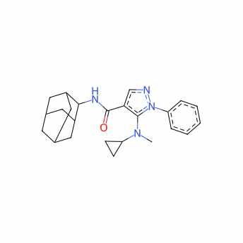 CN(c1c(C(=O)NC2C3CC4CC(C3)CC2C4)cnn1-c1ccccc1)C1CC1